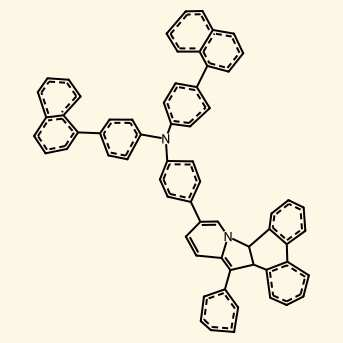 C1=CC2=C(c3ccccc3)C3c4ccccc4-c4ccccc4C3N2C=C1c1ccc(N(c2ccc(-c3cccc4ccccc34)cc2)c2ccc(-c3cccc4ccccc34)cc2)cc1